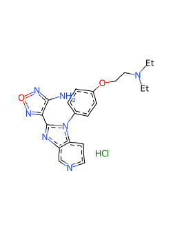 CCN(CC)CCOc1ccc(-n2c(-c3nonc3N)nc3cnccc32)cc1.Cl